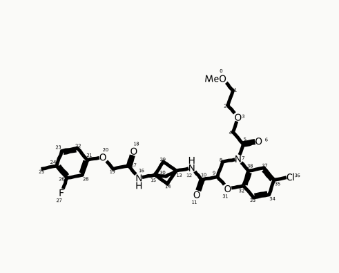 COCCOCC(=O)N1CC(C(=O)NC23CC(NC(=O)COc4ccc(C)c(F)c4)(C2)C3)Oc2ccc(Cl)cc21